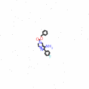 Nc1c(-c2ccc(F)cc2)nn2c1CN(C(=O)OCc1ccccc1)CC2